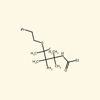 CCC(=O)NC(C)(C)C(C)(P)C(C)(C)OCCC(C)C